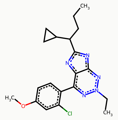 CCCC(c1nc2nn(CC)nc(-c3ccc(OC)cc3Cl)c-2n1)C1CC1